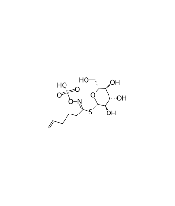 C=CCCCC(=NOS(=O)(=O)O)S[C@@H]1O[C@H](CO)[C@@H](O)[C@H](O)[C@H]1O